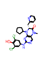 CN1C(=O)[C@@H](Cc2ccccn2)N(C2CCCC2)c2nc(Nc3cc(Cl)c(O)c(Cl)c3)ncc21